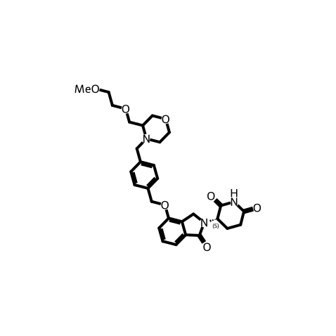 COCCOCC1COCCN1Cc1ccc(COc2cccc3c2CN([C@H]2CCC(=O)NC2=O)C3=O)cc1